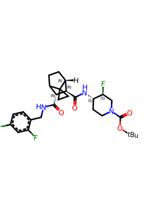 CC(C)(C)OC(=O)N1CC[C@H](NC(=O)[C@H]2[C@H](C(=O)NCc3ccc(Br)cc3F)C3CC[C@H]2C32CC2)[C@@H](F)C1